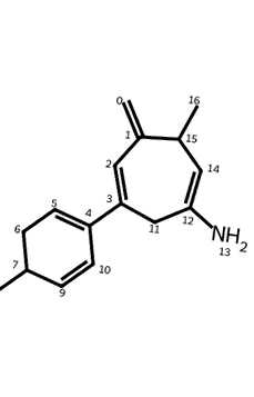 C=C1C=C(C2=CCC(C)C=C2)CC(N)=CC1C